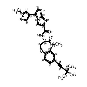 CN1C(=O)[C@@H](NC(=O)c2cn3c(-c4cnn(C)c4)csc3n2)COc2ccc(C#CC(C)(C)O)cc21